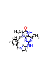 Cc1nc(N[C@H]2CCN(Cc3ccccc3)C2)nc2c1NC(=O)[C@H](C)N2C